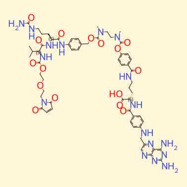 CC(C)[C@H](NC(=O)OCCOCCN1C(=O)C=CC1=O)C(=O)N[C@@H](CCCNC(N)=O)C(=O)Nc1ccc(COC(=O)N(C)CCN(C)C(=O)Oc2ccc(C(=O)NCCC[C@H](NC(=O)c3ccc(NCc4cnc5nc(N)nc(N)c5n4)cc3)C(=O)O)cc2)cc1